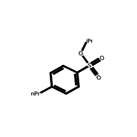 CCCc1ccc(S(=O)(=O)OC(C)C)cc1